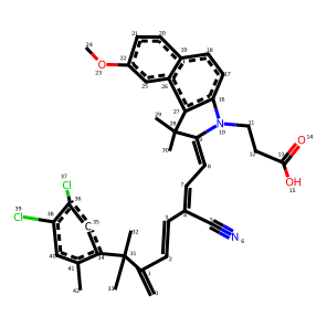 C=C(/C=C/C(C#N)=C/C=C1/N(CCC(=O)O)c2ccc3ccc(OC)cc3c2C1(C)C)C(C)(C)c1cc(Cl)c(Cl)cc1C